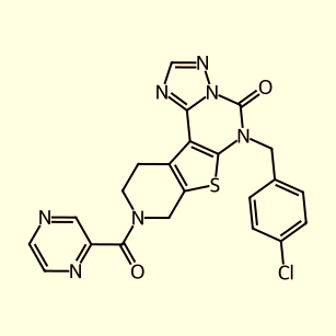 O=C(c1cnccn1)N1CCc2c(sc3c2c2ncnn2c(=O)n3Cc2ccc(Cl)cc2)C1